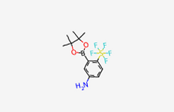 CC1(C)OB(c2cc(N)ccc2S(F)(F)(F)(F)F)OC1(C)C